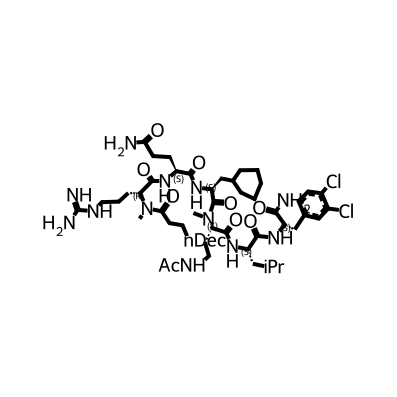 CCCCCCCCCCCCC(=O)N(C)[C@H](CCCNC(=N)N)C(=O)N[C@@H](CCC(N)=O)C(=O)N[C@@H](CC1CCCCC1)C(=O)N(C)[C@@H](CCNC(C)=O)C(=O)N[C@@H](CC(C)C)C(=O)N[C@@H](Cc1ccc(Cl)c(Cl)c1)C(N)=O